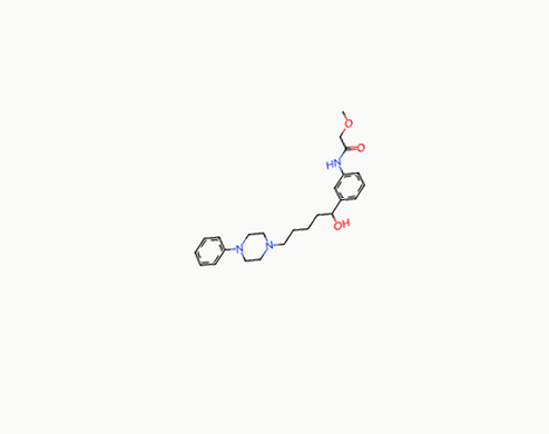 COCC(=O)Nc1cccc(C(O)CCCCN2CCN(c3ccccc3)CC2)c1